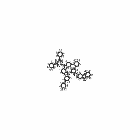 c1ccc(-c2ccc3c(c2)c2c(ccc4c5cc(-c6ccccc6)ccc5n(-c5cccc(-c6ccc7oc8ccccc8c7c6)n5)c42)n3-c2nc(-c3ccccc3)nc(-c3ccccc3)n2)cc1